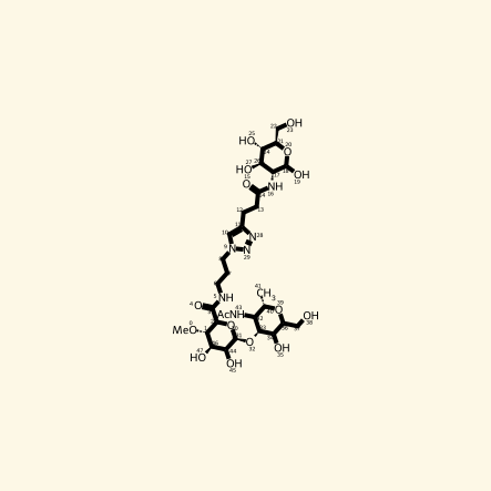 CO[C@@H]1C(C(=O)NCCCn2cc(CCC(=O)N[C@H]3C(O)O[C@H](CO)[C@@H](O)[C@@H]3O)nn2)O[C@@H](O[C@H]2C(O)C(CO)O[C@@H](C)C2NC(C)=O)C(O)[C@H]1O